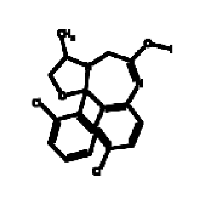 CC1COC2(c3ccccc3Cl)c3cc(Cl)ccc3N=C(OI)CN12